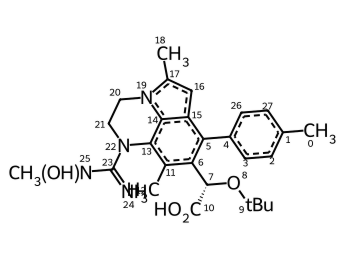 Cc1ccc(-c2c([C@H](OC(C)(C)C)C(=O)O)c(C)c3c4c2cc(C)n4CCN3C(=N)N(C)O)cc1